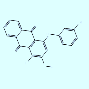 Nc1cccc(Nc2cc(SO)c(N)c3c2C(=O)c2ccccc2C3=O)c1